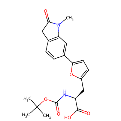 CN1C(=O)Cc2ccc(-c3ccc(C[C@H](NC(=O)OC(C)(C)C)C(=O)O)o3)cc21